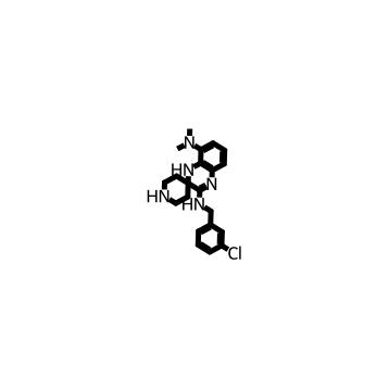 CN(C)c1cccc2c1NC1(CCNCC1)C(NCc1cccc(Cl)c1)=N2